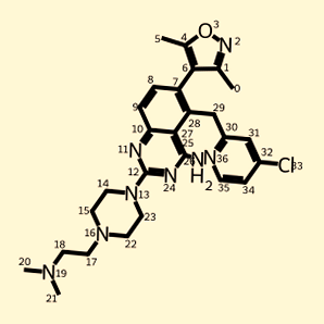 Cc1noc(C)c1-c1ccc2nc(N3CCN(CCN(C)C)CC3)nc(N)c2c1Cc1cc(Cl)ccn1